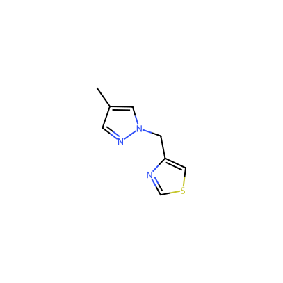 Cc1cnn(Cc2cscn2)c1